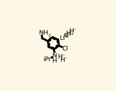 CC(C)Nc1cc(CN)ccc1Cl.[Al+3].[H-].[H-].[H-].[H-].[Li+]